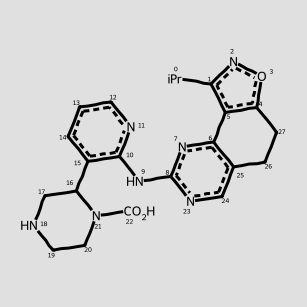 CC(C)c1noc2c1-c1nc(Nc3ncccc3C3CNCCN3C(=O)O)ncc1CC2